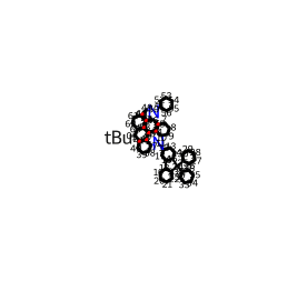 CC(C)(C)c1ccc(-c2ccccc2N(c2ccc3c(c2)-c2ccccc2C3(c2ccccc2)c2ccccc2)c2ccccc2-c2ccc3c(ccn3-c3ccccc3)c2)c2ccccc12